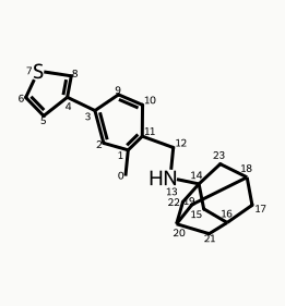 Cc1cc(-c2ccsc2)ccc1CNC12CC3CC(CC(C3)C1)C2